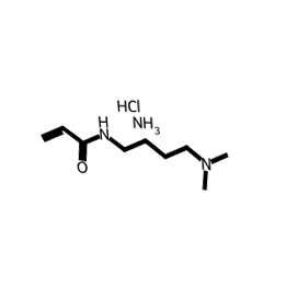 C=CC(=O)NCCCCN(C)C.Cl.N